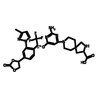 Cc1ccn(-c2cc(C3COC(=O)O3)ccc2[C@@H](Oc2cc(N3CCC4(CC3)CNC(C(=O)O)C4)nc(N)n2)C(F)(F)F)n1